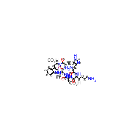 CC[C@H](C)[C@H](NC(=O)[C@H](CC(C)C)NC(=O)[C@H](CC(=O)O)NC(=O)[C@H](CCCCN)NC(=O)[C@H](N)Cc1c[nH]cn1)C(=O)N[C@@H](Cc1c[nH]c2ccccc12)C(=O)O